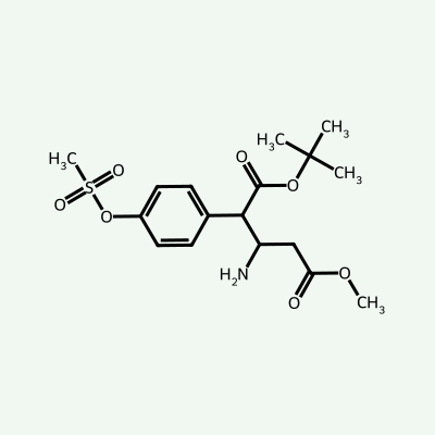 COC(=O)CC(N)C(C(=O)OC(C)(C)C)c1ccc(OS(C)(=O)=O)cc1